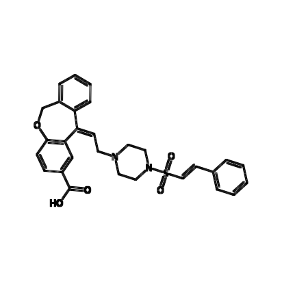 O=C(O)c1ccc2c(c1)C(=CCN1CCN(S(=O)(=O)C=Cc3ccccc3)CC1)c1ccccc1CO2